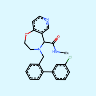 CC(C)(C)NC(=O)C1c2cnccc2OCCN1Cc1ccccc1-c1cccc(Cl)c1